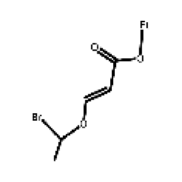 CCOC(=O)C=COC(C)Br